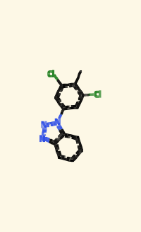 Cc1c(Cl)cc(-n2nnc3ccccc32)cc1Cl